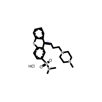 CN1CCN(CC/C=C2/c3ccccc3Sc3ccc(S(=O)(=O)N(C)C)cc32)CC1.Cl